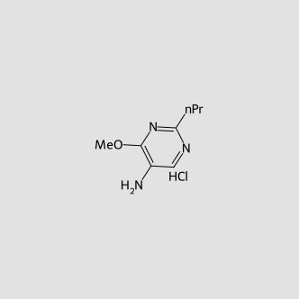 CCCc1ncc(N)c(OC)n1.Cl